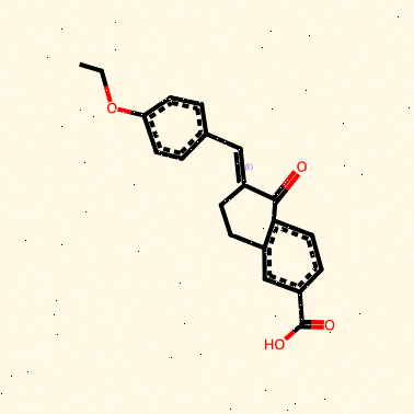 CCOc1ccc(/C=C2\CCc3cc(C(=O)O)ccc3C2=O)cc1